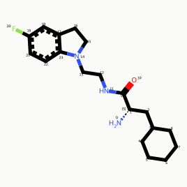 N[C@@H](CC1CCCCC1)C(=O)NCCN1CCc2cc(F)ccc21